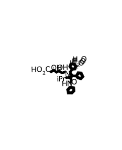 CC(C)c1c(C(=O)Nc2ccccc2)c(-c2ccccc2)c(-c2ccc(F)cc2)n1CC[C@@H](O)C[C@@H](O)CC(=O)O.O.O.O